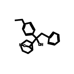 CCc1ccc(C(O)(Cc2ccccc2)C2CN3CCC2CC3)cc1